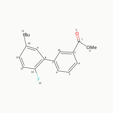 COC(=O)c1cccc(-c2cc(C(C)(C)C)ccc2F)c1